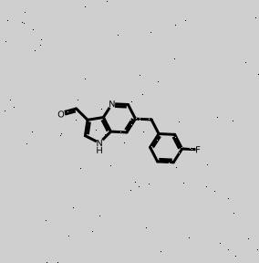 O=Cc1c[nH]c2cc(Cc3cccc(F)c3)cnc12